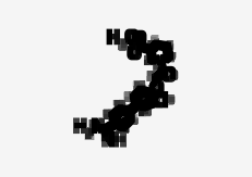 COC(=O)C1CCCN(C(=O)COc2ccc(-c3ccc(C(=N)N)cc3)cc2)C1.Cl